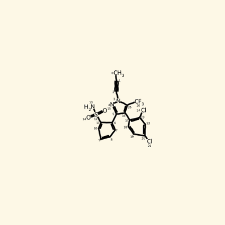 CC#Cn1nc(-c2ccccc2S(N)(=O)=O)c(-c2ccc(Cl)cc2Cl)c1C(F)(F)F